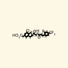 O=C(O)Cc1cc(Cl)c2c(c1)CCN(C(=O)CNC(=O)/C=C/c1ccc(C(F)(F)F)cc1F)C2